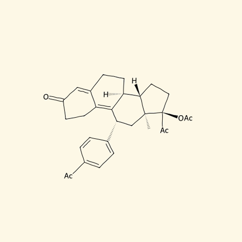 CC(=O)O[C@]1(C(C)=O)CC[C@H]2[C@@H]3CCC4=CC(=O)CCC4=C3[C@@H](c3ccc(C(C)=O)cc3)C[C@@]21C